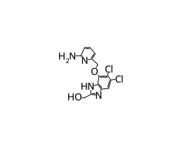 Nc1cccc(COc2c(Cl)c(Cl)cc3nc(CO)[nH]c23)n1